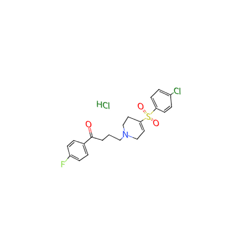 Cl.O=C(CCCN1CC=C(S(=O)(=O)c2ccc(Cl)cc2)CC1)c1ccc(F)cc1